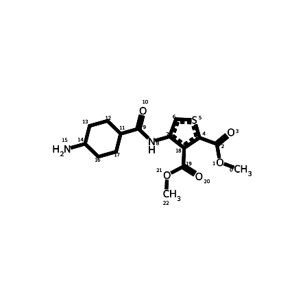 COC(=O)c1scc(NC(=O)C2CCC(N)CC2)c1C(=O)OC